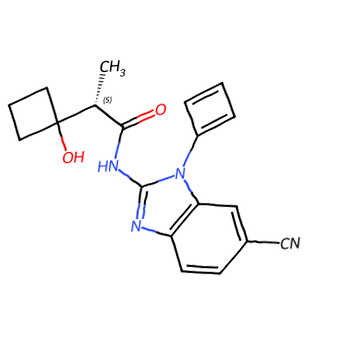 C[C@H](C(=O)Nc1nc2ccc(C#N)cc2n1C1=CC=C1)C1(O)CCC1